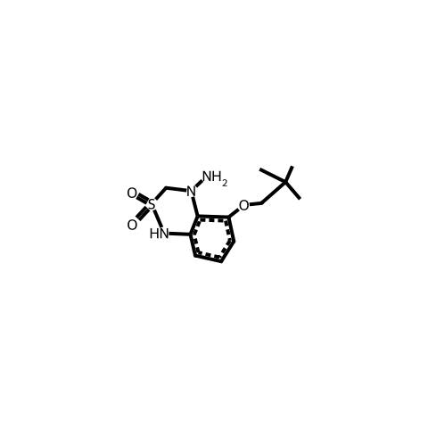 CC(C)(C)COc1cccc2c1N(N)CS(=O)(=O)N2